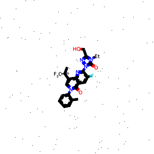 CCn1c(CO)nn(-c2nc3c([C@@H](C)C(F)(F)F)cn(-c4ccccc4C)c(=O)c3cc2F)c1=O